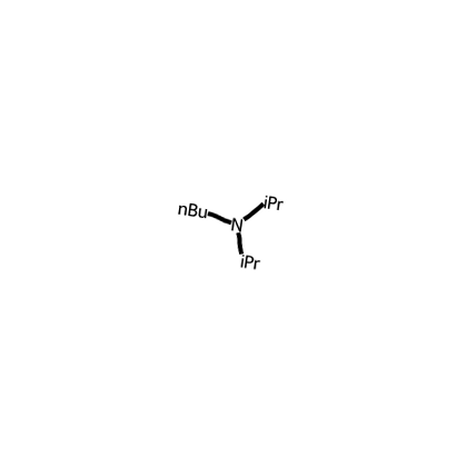 C[CH]CCN(C(C)C)C(C)C